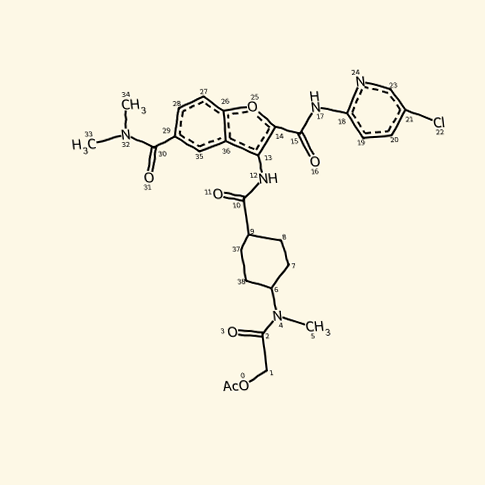 CC(=O)OCC(=O)N(C)C1CCC(C(=O)Nc2c(C(=O)Nc3ccc(Cl)cn3)oc3ccc(C(=O)N(C)C)cc23)CC1